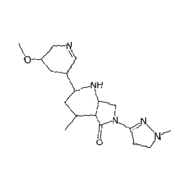 COC1CN=CC(C2CC(C)C3C(=O)N(C4=NN(C)CC4)CC3N2)C1